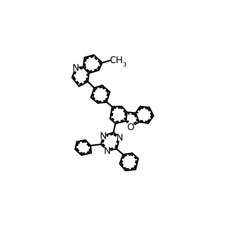 Cc1ccc2nccc(-c3ccc(-c4cc(-c5nc(-c6ccccc6)nc(-c6ccccc6)n5)c5oc6ccccc6c5c4)cc3)c2c1